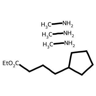 CCOC(=O)CCCC1CCCC1.CN.CN.CN